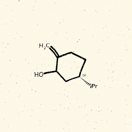 C=C1CC[C@H](C(C)C)CC1O